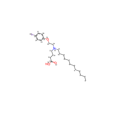 CCCCCCCCCCCCN(CCCC(=O)O)CCOc1ccc(I)cc1